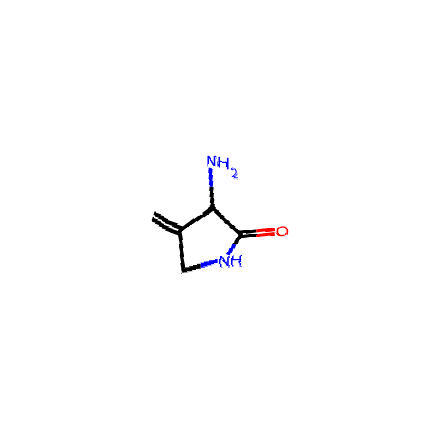 C=C1CNC(=O)C1N